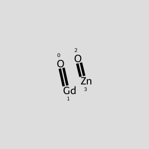 [O]=[Gd].[O]=[Zn]